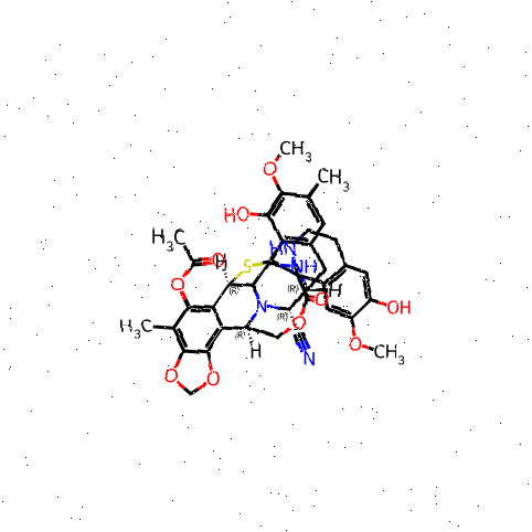 COc1cc2c(cc1O)CCNC21CS[C@@H]2c3c(OC(C)=O)c(C)c4c(c3[C@H](COC1=O)N1C2C2N[C@H](Cc3cc(C)c(OC)c(O)c32)[C@@H]1C#N)OCO4